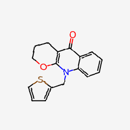 O=c1c2c(n(Cc3cccs3)c3ccccc13)OCCC2